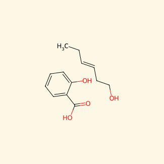 CCC=CCCO.O=C(O)c1ccccc1O